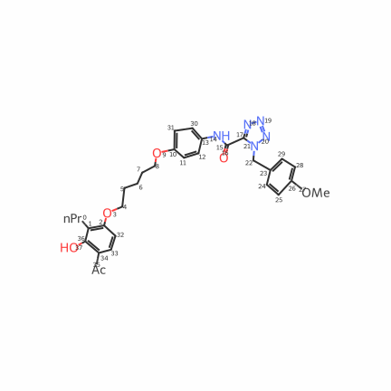 CCCc1c(OCCCCCOc2ccc(NC(=O)c3nnnn3Cc3ccc(OC)cc3)cc2)ccc(C(C)=O)c1O